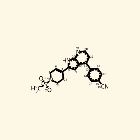 CS(=O)(=O)N1CC=C(c2cc3c(-c4ccc(C#N)cc4)ccnc3[nH]2)CC1